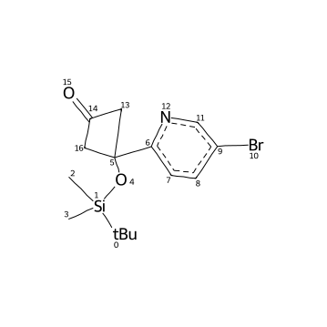 CC(C)(C)[Si](C)(C)OC1(c2ccc(Br)cn2)CC(=O)C1